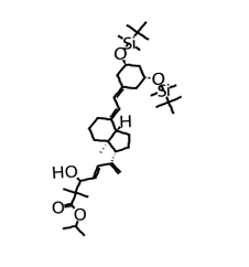 C=C(/C=C/[C@H](O)C(C)(C)C(=O)OC(C)C)[C@H]1CC[C@H]2/C(=C/C=C3C[C@@H](O[Si](C)(C)C(C)(C)C)C[C@H](O[Si](C)(C)C(C)(C)C)C3)CCC[C@]12C